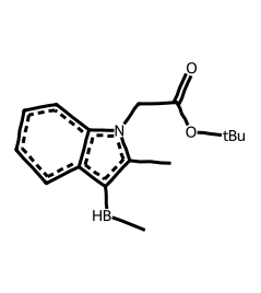 CBc1c(C)n(CC(=O)OC(C)(C)C)c2ccccc12